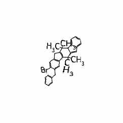 CC1(C)C2=Cc3ccccc3C2C(C)(C)C2=C1c1cc(Cc3ccccc3)c(Br)cc1C2